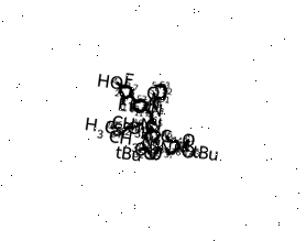 CCc1cc(O)c(F)cc1-c1ccc2c(-c3nc4c(n3COCC[Si](C)(C)C)CN(C(=O)OC(C)(C)C)[C@H](C(=O)N3CCN(C(=O)OC(C)(C)C)CC3C)C4)nn(C3CCCCO3)c2c1